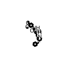 COc1ccc(NC(=O)NCCC[C@@H]2C[C@@H](Cc3ccccc3)CCN2)cc1OC